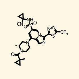 C[C@@H]1CN(c2cc(S(=O)(=O)NC3(C#N)CC3)cn3c(-c4nnc(C(F)(F)F)s4)ncc23)CCN1C(=O)C1(C)CC1